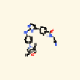 N#CCNC(=O)c1ccc(-c2ccnc(Nc3ccc(N4C[C@@H]5C[C@H]4CO5)cc3)n2)cc1